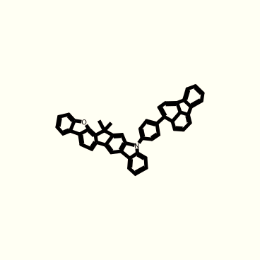 CC1(C)c2cc3c(cc2-c2ccc4c(oc5ccccc54)c21)c1ccccc1n3-c1ccc(C2=CC=C3c4ccccc4C4=CC=CC2C43)cc1